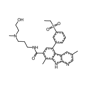 CCS(=O)(=O)c1cccc(-c2cc(C(=O)NCCCN(C)CCO)c(C)c3[nH]c4ncc(C)cc4c23)c1